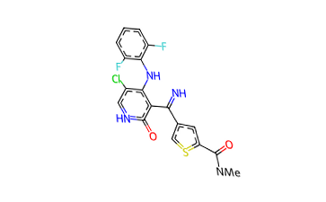 CNC(=O)c1cc(C(=N)c2c(Nc3c(F)cccc3F)c(Cl)c[nH]c2=O)cs1